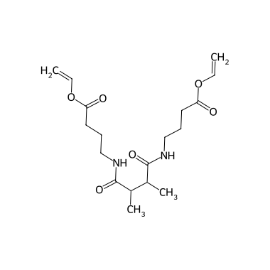 C=COC(=O)CCCNC(=O)C(C)C(C)C(=O)NCCCC(=O)OC=C